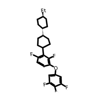 CC[C@H]1CC[C@H](C2CCC(c3c(F)c[c]c(Oc4cc(F)c(F)c(F)c4)c3F)CC2)CC1